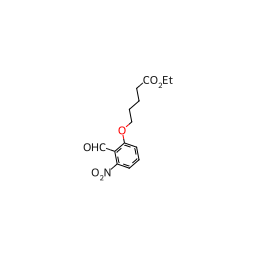 CCOC(=O)CCCCOc1cccc([N+](=O)[O-])c1C=O